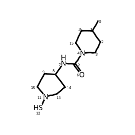 CC1CCN(C(=O)NC2CCN(S)CC2)CC1